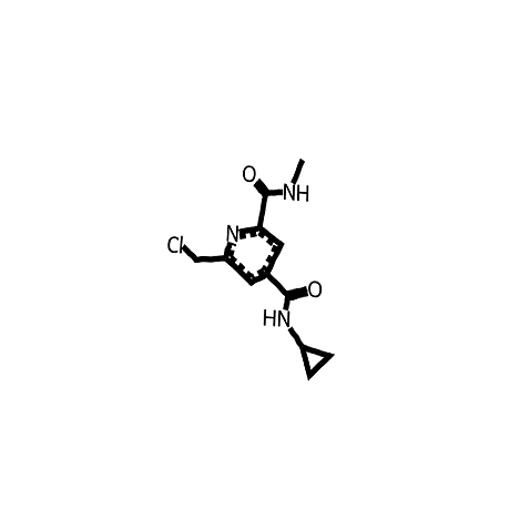 CNC(=O)c1cc(C(=O)NC2CC2)cc(CCl)n1